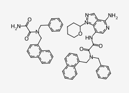 NC(=O)C(=O)N(Cc1ccccc1)Cc1cccc2ccccc12.Nc1ncc(NC(=O)C(=O)N(Cc2ccccc2)Cc2cccc3ccccc23)c2c1cnn2C1CCCCO1